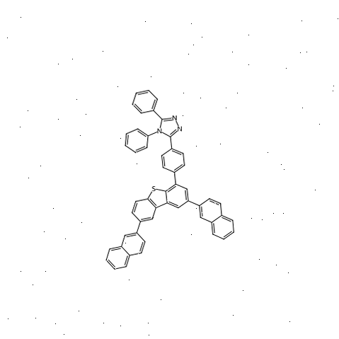 c1ccc(-c2nnc(-c3ccc(-c4cc(-c5ccc6ccccc6c5)cc5c4sc4ccc(-c6ccc7ccccc7c6)cc45)cc3)n2-c2ccccc2)cc1